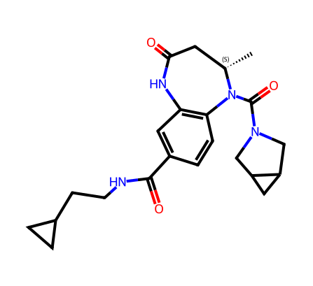 C[C@H]1CC(=O)Nc2cc(C(=O)NCCC3CC3)ccc2N1C(=O)N1CC2CC2C1